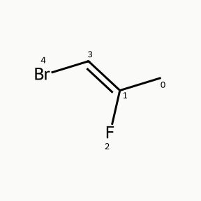 CC(F)=CBr